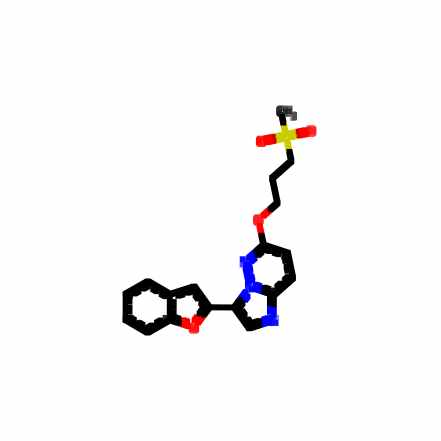 CS(=O)(=O)CCCOc1ccc2ncc(-c3cc4ccccc4o3)n2n1